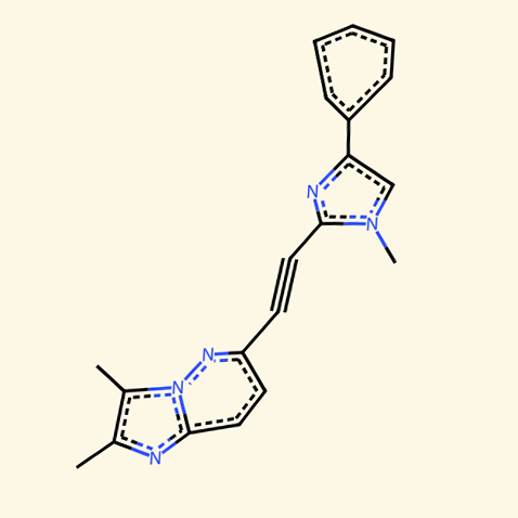 Cc1nc2ccc(C#Cc3nc(-c4ccccc4)cn3C)nn2c1C